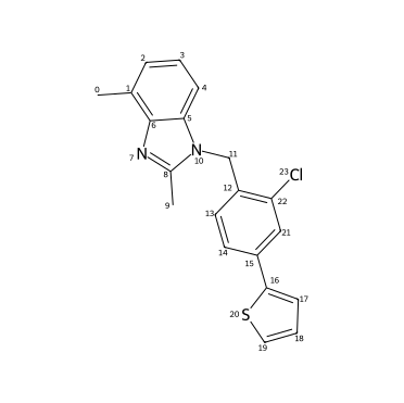 Cc1cccc2c1nc(C)n2Cc1ccc(-c2cccs2)cc1Cl